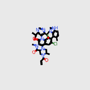 C=CC(=O)N1CC2C(=O)N(C)c3c(c4cc(Cl)c(-c5c(C)ccc6[nH]cnc56)c(F)c4n(-c4c(C(C)C)ncnc4C(C)C)c3=O)N2CC1C